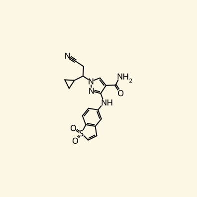 N#CCC(C1CC1)n1cc(C(N)=O)c(Nc2ccc3c(c2)C=CS3(=O)=O)n1